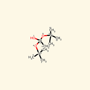 C[Si](C)(C)O[Si](C)(O)O[Si](C)(C)C